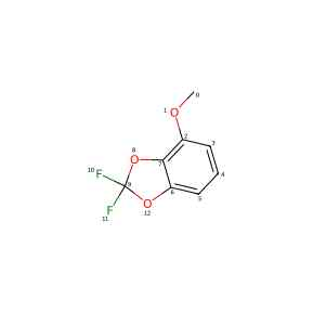 COc1cccc2c1OC(F)(F)O2